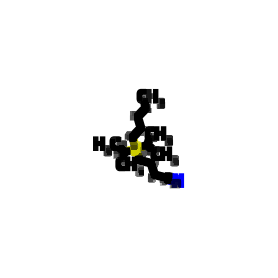 CCCCCS(CCCC#N)(C(C)C)C(C)C